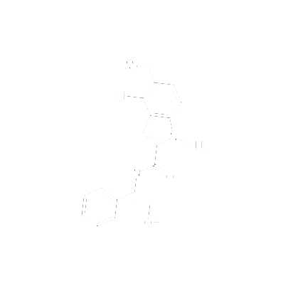 COc1ccc2c(cc(C(=O)N[C@H](CO)c3c[c]ccc3)n2C)c1Cl